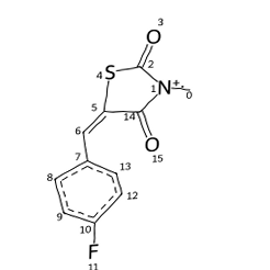 C[N+]1C(=O)SC(=Cc2ccc(F)cc2)C1=O